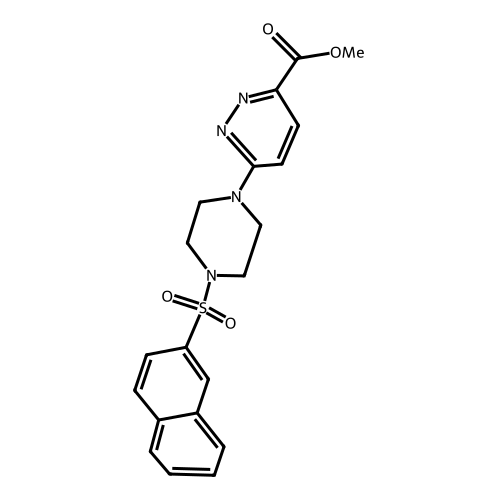 COC(=O)c1ccc(N2CCN(S(=O)(=O)c3ccc4ccccc4c3)CC2)nn1